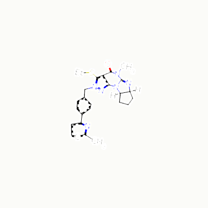 CCSc1c2c(nn1Cc1ccc(-c3cccc(C)n3)cc1)N1C(=N[C@@H]3CCC[C@@H]31)N(C)C2=O